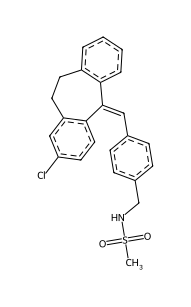 CS(=O)(=O)NCc1ccc(/C=C2/c3ccccc3CCc3cc(Cl)ccc32)cc1